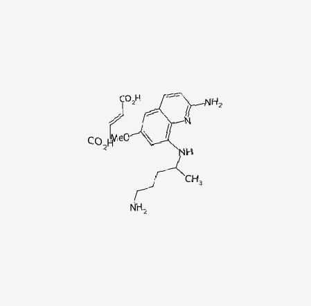 COc1cc(NC(C)CCCN)c2nc(N)ccc2c1.O=C(O)C=CC(=O)O